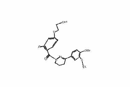 CCOc1cc(C2=NN(C(=O)c3ccc(OCCO)cc3F)CCC2)ccc1OC